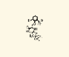 CC(C)(C)OC(=O)N[C@@H](COc1c(Br)cccc1[N+](=O)[O-])C(=O)O